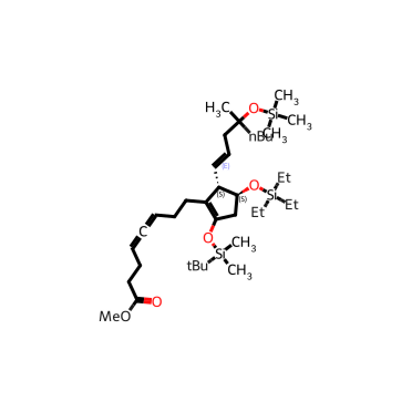 CCCCC(C)(C/C=C/[C@H]1C(CCC=C=CCCC(=O)OC)=C(O[Si](C)(C)C(C)(C)C)C[C@@H]1O[Si](CC)(CC)CC)O[Si](C)(C)C